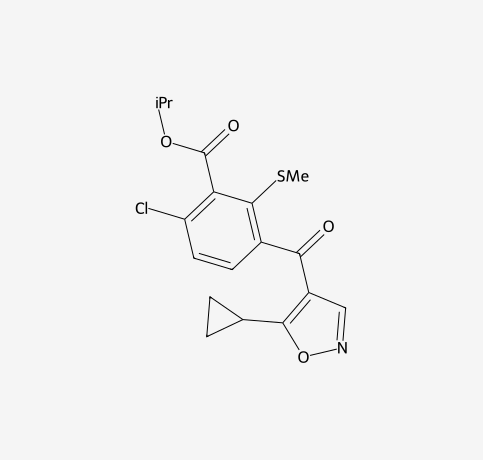 CSc1c(C(=O)c2cnoc2C2CC2)ccc(Cl)c1C(=O)OC(C)C